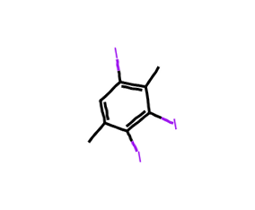 Cc1cc(I)c(C)c(I)c1I